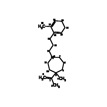 C=C(C)C1(C)CCCN(CCCC2=CCCC=C2C)CC1